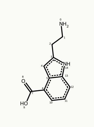 NCCc1cc2c(C(=O)O)cccc2[nH]1